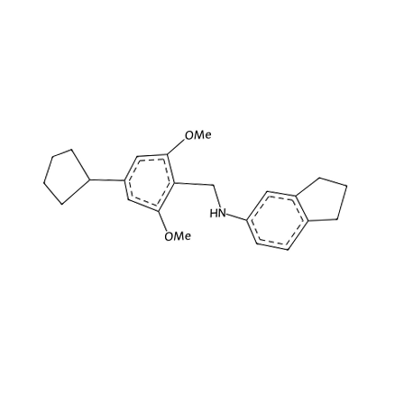 COc1cc(C2CCCC2)cc(OC)c1CNc1ccc2c(c1)CCC2